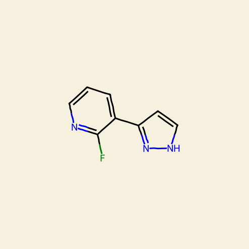 Fc1ncccc1-c1cc[nH]n1